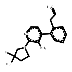 C=CCc1ccccc1-c1ccnc(N2CCC(C)(F)C2)c1N